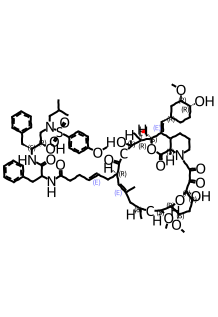 COc1ccc(S(=O)(=O)N(CC(C)C)C[C@@H](O)[C@H](Cc2ccccc2)NC(=O)C(Cc2ccccc2)NC(=O)CC/C=C/C[C@@H]2/C=C(\C)C[C@H](C)C[C@H](OC)[C@H]3O[C@@](O)(C(=O)C(=O)N4CCCC5/C(=C\[C@@H]6CC[C@@H](O)[C@H](OC)C6)[C@@H](OC(=O)[C@H]54)[C@H](C)[C@@H](O)CC2=O)[C@H](C)C[C@@H]3OC)cc1